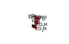 Nc1nc(C(=NOCc2c(C(=O)O)ccc(O)c2O)C(=O)N[C@@H]2C(=O)N3C(C(=O)O)=C(CSc4cc(CC(=O)O)nc5cnnn45)CS[C@H]23)cs1